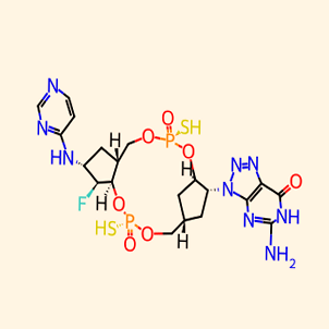 Nc1nc2c(nnn2[C@@H]2C[C@@H]3CO[P@](=O)(S)O[C@@H]4[C@@H](CO[P@@](=O)(S)O[C@@H]2C3)C[C@@H](Nc2ccncn2)[C@@H]4F)c(=O)[nH]1